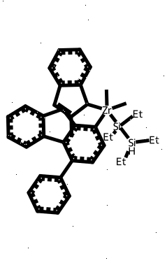 CC[SiH](CC)[Si](CC)(CC)[Zr]([CH3])([CH3])([c]1ccc(-c2ccccc2)c2c1Cc1ccccc1-2)[CH]1C(C)=Cc2ccccc21